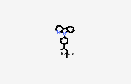 CCCC(C)(CC)CC(C)c1ccc(-n2c3ccccc3c3cccnc32)cc1